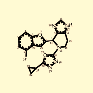 Fc1cccc2oc([C@H]3c4nc[nH]c4CCN3c3nnc(C4CC4)o3)cc12